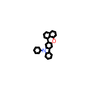 c1ccc(-n2c3ccccc3c3cc4c(cc32)-c2cccc3cccc(c23)O4)cc1